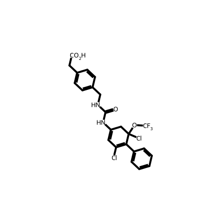 O=C(O)Cc1ccc(CNC(=O)NC2=CC(Cl)=C(c3ccccc3)C(Cl)(OC(F)(F)F)C2)cc1